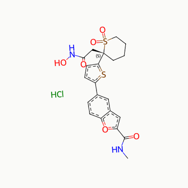 CNC(=O)c1cc2cc(-c3ccc([C@@]4(CC(=O)NO)CCCCS4(=O)=O)s3)ccc2o1.Cl